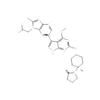 CNc1nc(N[C@H]2CC[C@@](C)(N3CCCC3=O)CC2)nc2[nH]cc(-c3cnc4nc(C)n(CC(F)F)c4n3)c12